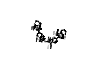 c1cc2[nH]c(Cc3nc4cc(C5=N[C@H]6CCCC[C@@H]6N5)ccc4[nH]3)nc2cc1C1=N[C@H]2CCCC[C@@H]2N1